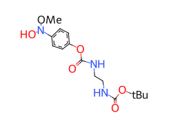 CON(O)c1ccc(OC(=O)NCCNC(=O)OC(C)(C)C)cc1